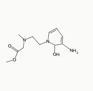 COC(=O)CN(C)CCN1C=CC=C(N)C1O